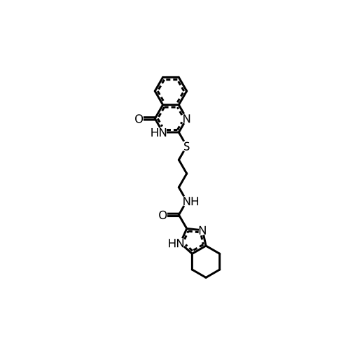 O=C(NCCCSc1nc2ccccc2c(=O)[nH]1)c1nc2c([nH]1)CCCC2